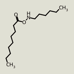 CCCCCCCCC(=O)ONCCCCCC